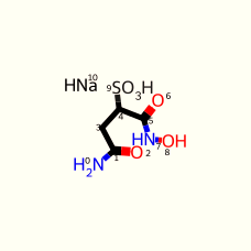 NC(=O)CC(C(=O)NO)S(=O)(=O)O.[NaH]